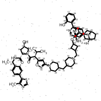 Cc1ncsc1-c1ccc([C@H](C)NC(=O)[C@@H]2C[C@@H](O)CN2C(=O)[C@H](c2cc(N3CCC(CC4CCN(CC5CC(Oc6cc(N7C8CC[C@@H]7CN(c7cc(-c9ccccc9O)nnc7N)C8)ccn6)C5)CC4)CC3)no2)C(C)C)cc1